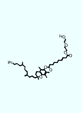 Cc1c(C)c2c(c(C)c1OC(=O)CCCCCCCCC(=O)OCCOCCO)CCC(C)(CCCC(C)CCCC(C)CCCC(C)C)O2